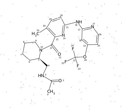 CC(=O)NC[C@H]1CCCCN1C(=O)c1nc(Nc2cc(OC(F)(F)F)ccn2)ccc1C